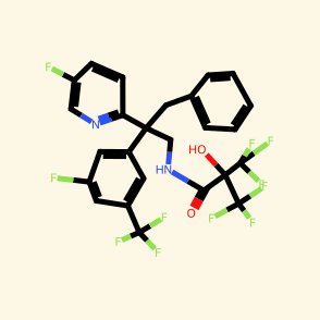 O=C(NCC(Cc1ccccc1)(c1cc(F)cc(C(F)(F)F)c1)c1ccc(F)cn1)C(O)(C(F)(F)F)C(F)(F)F